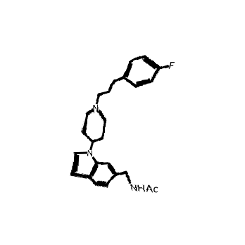 CC(=O)NCc1ccc2ccn(C3CCN(CCCc4ccc(F)cc4)CC3)c2c1